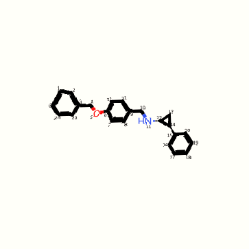 c1ccc(COc2ccc(CN[C@@H]3C[C@H]3c3ccccc3)cc2)cc1